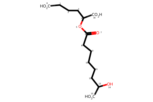 O=C(O)CCCC(OC(=O)CCCCCC(O)C(=O)O)C(=O)O